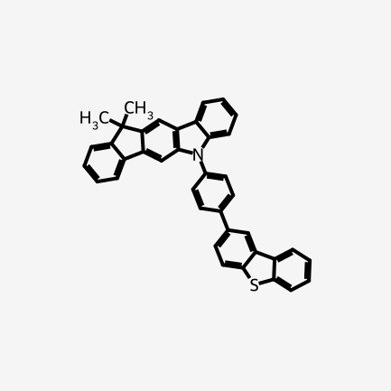 CC1(C)c2ccccc2-c2cc3c(cc21)c1ccccc1n3-c1ccc(-c2ccc3sc4ccccc4c3c2)cc1